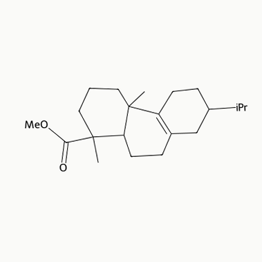 COC(=O)C1(C)CCCC2(C)C3=C(CCC12)CC(C(C)C)CC3